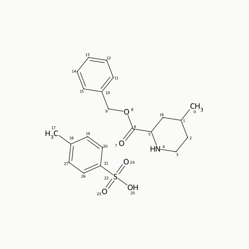 CC1CCNC(C(=O)OCc2ccccc2)C1.Cc1ccc(S(=O)(=O)O)cc1